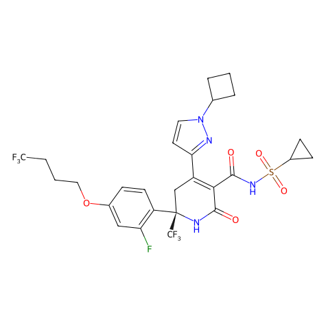 O=C1N[C@@](c2ccc(OCCCC(F)(F)F)cc2F)(C(F)(F)F)CC(c2ccn(C3CCC3)n2)=C1C(=O)NS(=O)(=O)C1CC1